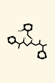 CCC(CC(CC(C)C(C)c1ccccc1)SCc1ccccc1O)C(C)c1ccccc1